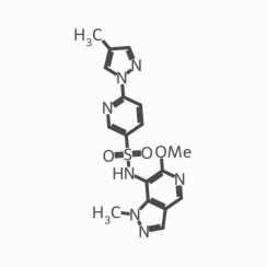 COc1ncc2cnn(C)c2c1NS(=O)(=O)c1ccc(-n2cc(C)cn2)nc1